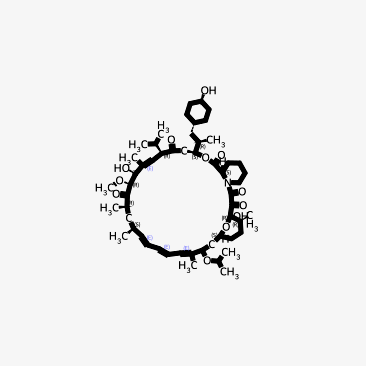 CO[C@H]1C(=O)[C@H](C)C[C@H](C)/C=C/C=C/C=C(\C)C(OC(C)C)C[C@@H]2CC[C@@H](C)[C@@](O)(O2)C(=O)C(=O)N2CCCC[C@H]2C(=O)O[C@H]([C@H](C)C[C@H]2CC[C@H](O)CC2)CC(=O)[C@H](C(C)C)/C=C(\C)[C@H]1O